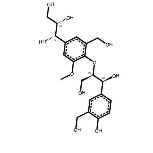 COc1cc([C@H](O)[C@@H](O)CO)cc(CO)c1O[C@H](CO)[C@@H](O)c1ccc(O)c(CO)c1